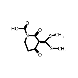 CSC(SC)=C1C(=O)CCN(C(=O)O)C1=O